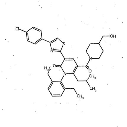 CCc1cccc(CC)c1-n1c(CC(C)C)c(C(=O)N2CCC(CO)CC2)cc(-c2nc(-c3ccc(Cl)cc3)cs2)c1=O